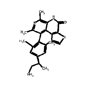 Cc1cc(C(C)CN)cc(C)c1-c1c(C)nc(C)c2[nH]c(=O)c3sccc3c12